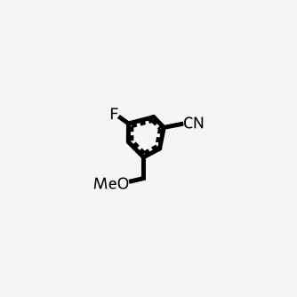 COCc1cc(F)cc(C#N)c1